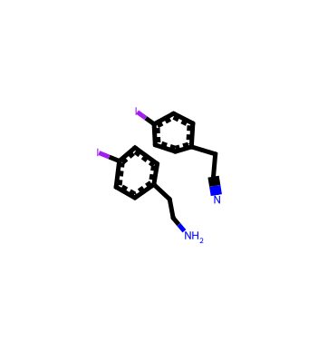 N#CCc1ccc(I)cc1.NCCc1ccc(I)cc1